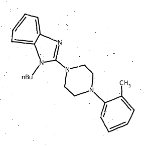 CCCCn1c(N2CCN(c3ccccc3C)CC2)nc2ccccc21